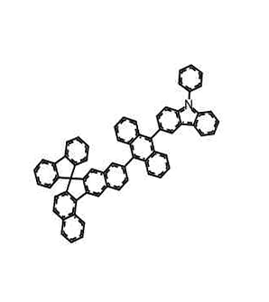 c1ccc(-n2c3ccccc3c3cc(-c4c5ccccc5c(-c5ccc6cc7c(cc6c5)C5(c6ccccc6-c6ccccc65)c5ccc6ccccc6c5-7)c5ccccc45)ccc32)cc1